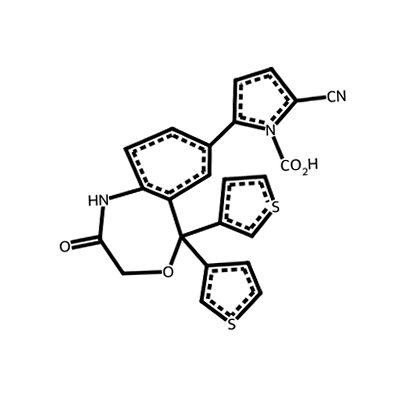 N#Cc1ccc(-c2ccc3c(c2)C(c2ccsc2)(c2ccsc2)OCC(=O)N3)n1C(=O)O